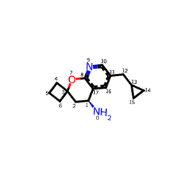 N[C@H]1CC2(CCC2)Oc2ncc(CC3CC3)cc21